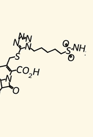 NC1C(=O)N2C(C(=O)O)=C(CSc3nnnn3CCCCCS(N)(=O)=O)CS[C@H]12